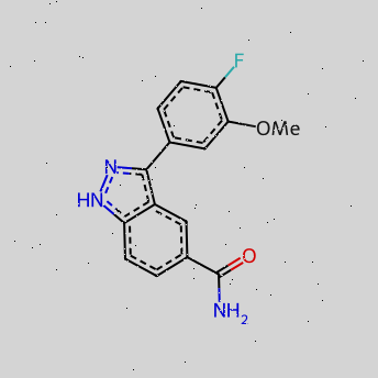 COc1cc(-c2n[nH]c3ccc(C(N)=O)cc23)ccc1F